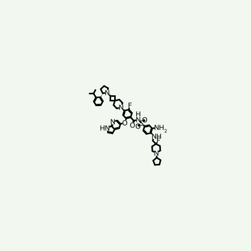 CC(C)c1ccccc1[C@@H]1CCCN1C1CC2(CCN(c3cc(Oc4cnc5[nH]ccc5c4)c(C(=O)NS(=O)(=O)c4ccc(NCC5(F)CCN(C6CCCC6)CC5)c(N)c4)cc3F)CC2)C1